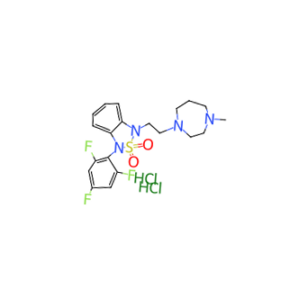 CN1CCCN(CCN2c3ccccc3N(c3c(F)cc(F)cc3F)S2(=O)=O)CC1.Cl.Cl